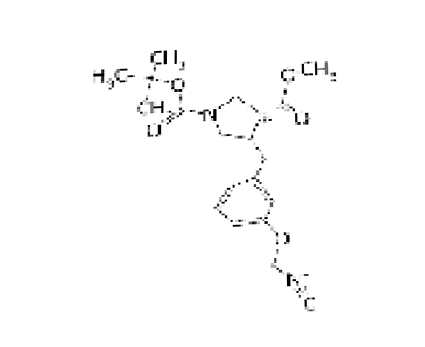 [C-]#[N+]COc1cccc(CC2CN(C(=O)OC(C)(C)C)C[C@@H]2C(=O)OC)c1